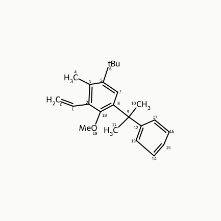 C=Cc1c(C)c(C(C)(C)C)cc(C(C)(C)c2ccccc2)c1OC